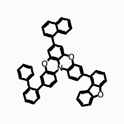 c1ccc(-c2ccccc2-c2ccc3c(c2)Oc2cc(-c4cccc5ccccc45)cc4c2N3c2ccc(-c3cccc5oc6ccccc6c35)cc2O4)cc1